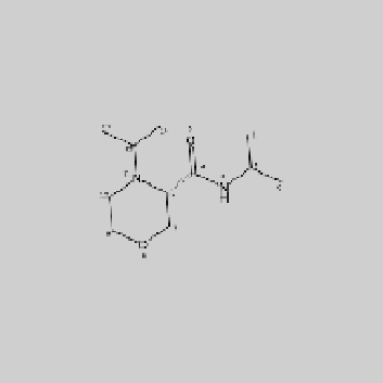 CC(C)NC(=O)[C@@H]1COCCN1C(C)C